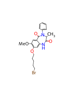 COc1cc2c(cc1OCCCCCBr)NC(=O)C(C)N(c1ccccc1)C2=O